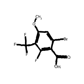 COc1cc(Br)c(C(=O)O)c(F)c1C(F)(F)F